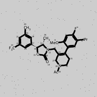 COc1cc(F)c(C(C)C)cc1C1=C(CN2C(=O)O[C@H](c3cc(C)cc(C(F)(F)F)c3)[C@@H]2C)CN(C(C)=O)CC1